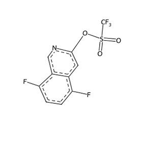 O=S(=O)(Oc1cc2c(F)ccc(F)c2cn1)C(F)(F)F